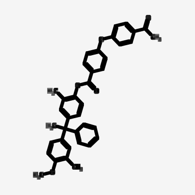 COc1ccc(C(C)(c2ccccc2)c2ccc(OC(=O)c3ccc(Oc4ccc(C(C)=O)cc4)cc3)c(C)c2)cc1C